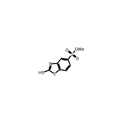 COS(=O)(=O)c1ccc2sc(S)nc2c1